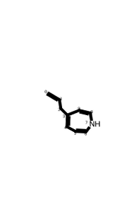 C=CCC1=CC=CNC=C1